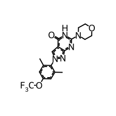 Cc1cc(OC(F)(F)F)cc(C)c1-n1cc2c(=O)[nH]c(N3CCOCC3)nc2n1